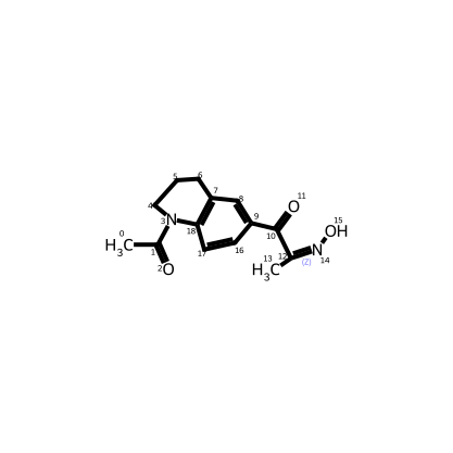 CC(=O)N1CCCc2cc(C(=O)/C(C)=N\O)ccc21